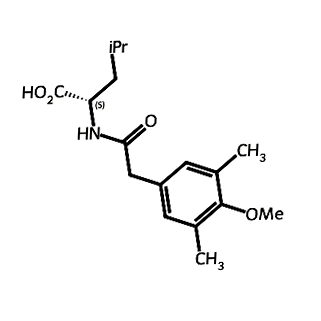 COc1c(C)cc(CC(=O)N[C@@H](CC(C)C)C(=O)O)cc1C